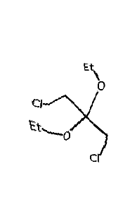 CCOC(CCl)(CCl)OCC